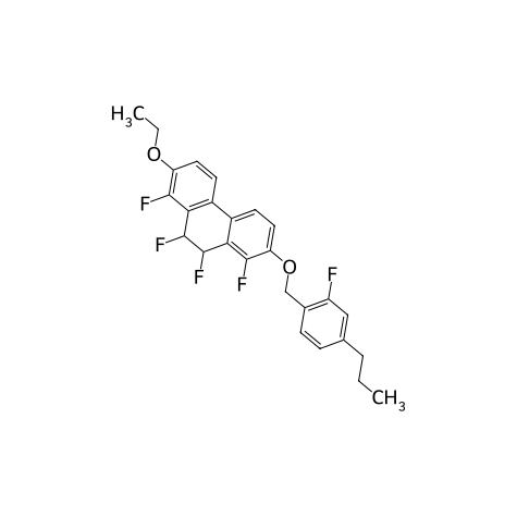 CCCc1ccc(COc2ccc3c(c2F)C(F)C(F)c2c-3ccc(OCC)c2F)c(F)c1